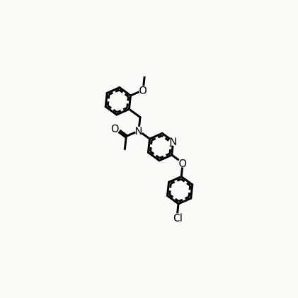 COc1ccccc1CN(C(C)=O)c1ccc(Oc2ccc(Cl)cc2)nc1